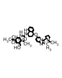 COc1c(CO)cc(C(C)(C)C)cc1NC(=O)N[C@H]1CC[C@@H](Oc2ccc3nnc(C4CCCN4C(C)C)n3c2)c2ccccc21